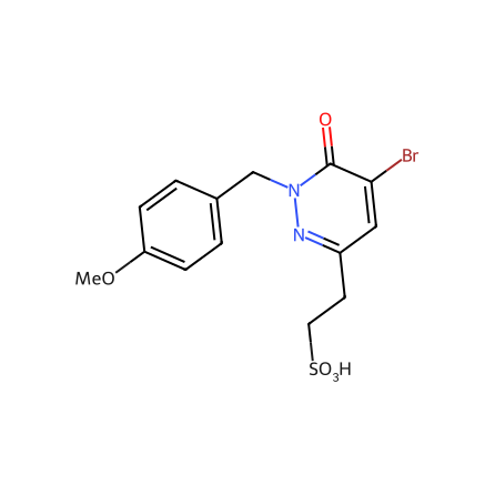 COc1ccc(Cn2nc(CCS(=O)(=O)O)cc(Br)c2=O)cc1